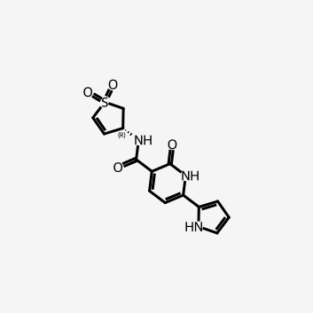 O=C(N[C@@H]1C=CS(=O)(=O)C1)c1ccc(-c2ccc[nH]2)[nH]c1=O